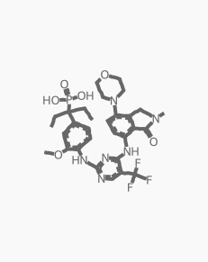 CCC(CC)(c1ccc(Nc2ncc(C(F)(F)F)c(Nc3ccc(N4CCOCC4)c4c3C(=O)N(C)C4)n2)c(OC)c1)P(=O)(O)O